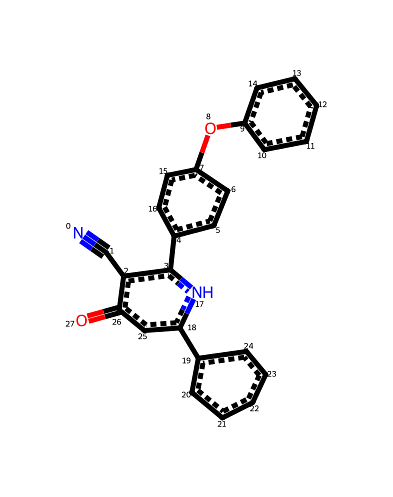 N#Cc1c(-c2ccc(Oc3ccccc3)cc2)[nH]c(-c2ccccc2)cc1=O